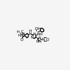 Cn1[nH]c(=O)c2ccc(Nc3ncc(-c4nc(N5CCOCC5)no4)c(N[C@H](CO)c4ccccc4)n3)cc21